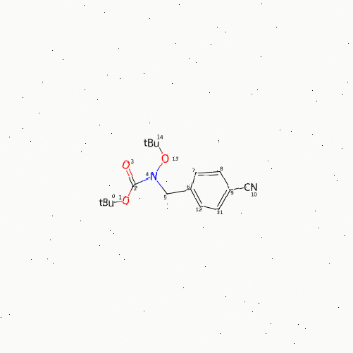 CC(C)(C)OC(=O)N(Cc1ccc(C#N)cc1)OC(C)(C)C